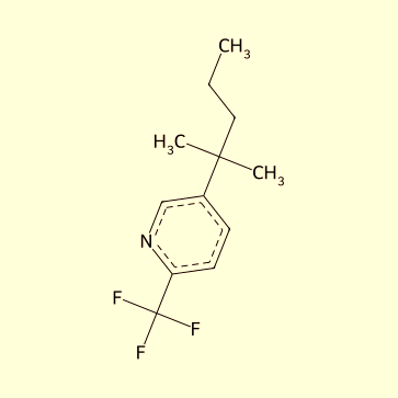 CCCC(C)(C)c1ccc(C(F)(F)F)nc1